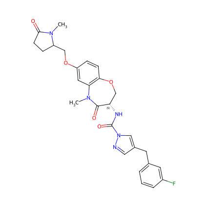 CN1C(=O)[C@@H](NC(=O)n2cc(Cc3cccc(F)c3)cn2)COc2ccc(OCC3CCC(=O)N3C)cc21